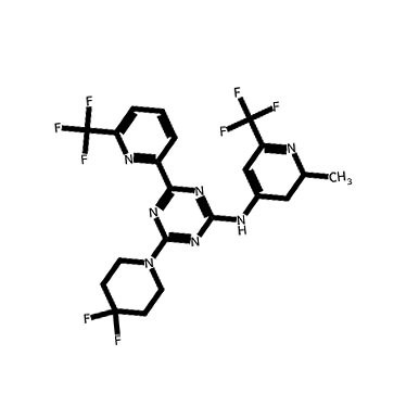 CC1CC(Nc2nc(-c3cccc(C(F)(F)F)n3)nc(N3CCC(F)(F)CC3)n2)=CC(C(F)(F)F)=N1